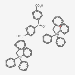 O=C(O)c1ccc([S+]([O-])c2ccc(C(=O)O)cc2)cc1.c1ccc(C[PH](c2ccccc2)(c2ccccc2)c2ccccc2)cc1.c1ccc(C[PH](c2ccccc2)(c2ccccc2)c2ccccc2)cc1